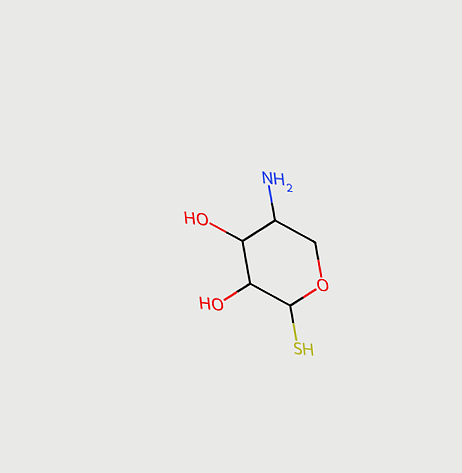 NC1COC(S)C(O)C1O